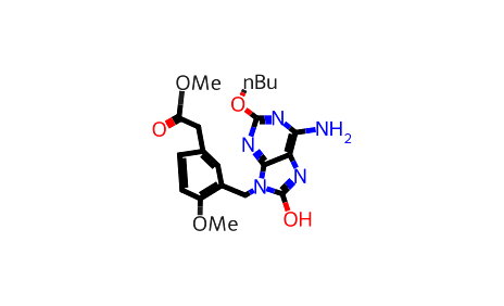 CCCCOc1nc(N)c2nc(O)n(Cc3cc(CC(=O)OC)ccc3OC)c2n1